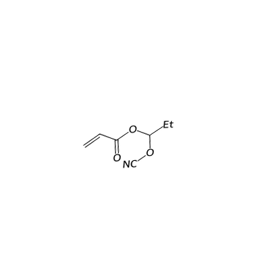 C=CC(=O)OC(CC)OC#N